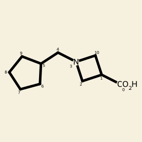 O=C(O)C1CN(CC2CCCC2)C1